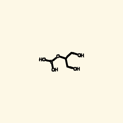 OCC(CO)OB(O)O